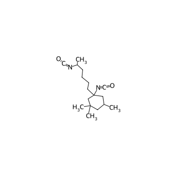 CC1CC(C)(C)CC(CCCCC(C)N=C=O)(N=C=O)C1